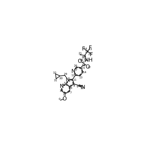 COc1cnc2c(c1)c(C#N)c(-c1ccc(S(=O)(=O)N[C@@H](C)C(F)(F)F)cn1)n2CC1CC1